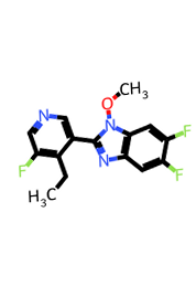 CCc1c(F)cncc1-c1nc2cc(F)c(F)cc2n1OC